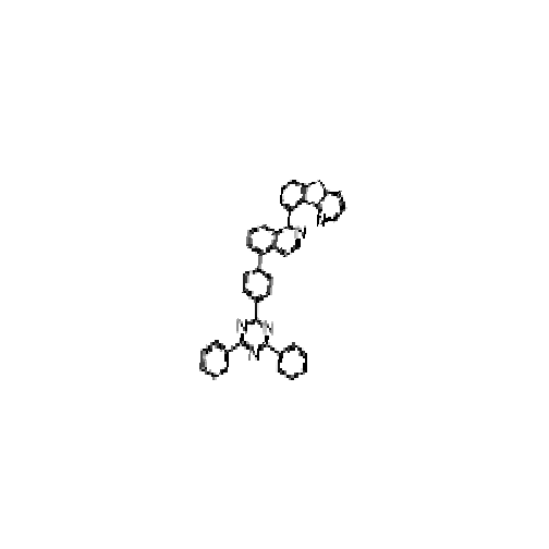 c1ccc(-c2nc(-c3ccccc3)nc(-c3ccc(-c4cccc5c(-c6cccc7c6-c6ncccc6C7)nccc45)cc3)n2)cc1